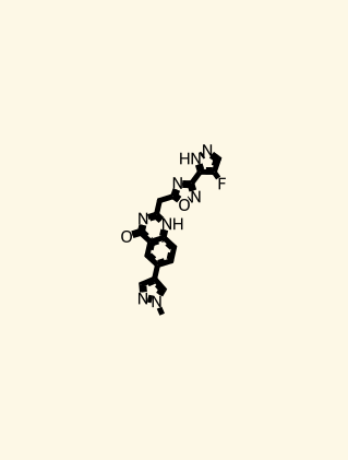 Cn1cc(-c2ccc3[nH]c(Cc4nc(-c5[nH]ncc5F)no4)nc(=O)c3c2)cn1